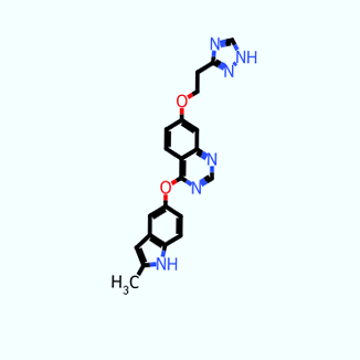 Cc1cc2cc(Oc3ncnc4cc(OCCc5nc[nH]n5)ccc34)ccc2[nH]1